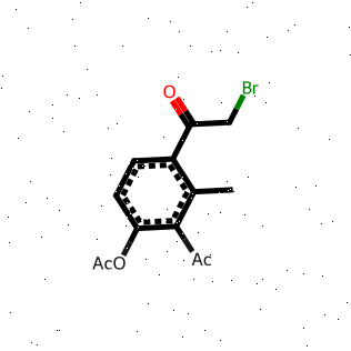 CC(=O)Oc1ccc(C(=O)CBr)c(C)c1C(C)=O